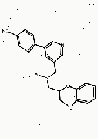 CCN(Cc1cncc(-c2ccc(C#N)cc2)c1)CC1COc2ccccc2O1